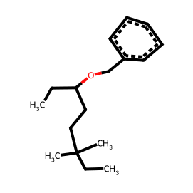 CCC(CCC(C)(C)CC)OCc1ccccc1